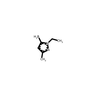 Bc1cc(C)nn1CC